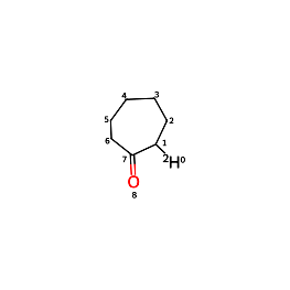 [2H]C1CCCCCC1=O